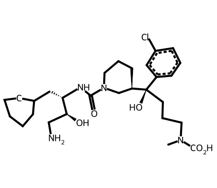 CN(CCC[C@@](O)(c1cccc(Cl)c1)[C@@H]1CCCN(C(=O)N[C@@H](CC2CCCCC2)[C@@H](O)CN)C1)C(=O)O